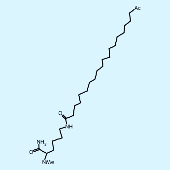 CNC(CCCCNC(=O)CCCCCCCCCCCCCCCCCCC(C)=O)C(N)=O